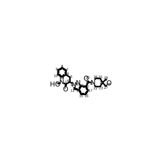 O=C(NO)C(Cc1ccccc1)n1cc2cccc(C(=O)N3CCC4(CC3)COC4)c2n1